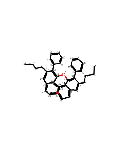 CCCCc1cc2ccccc2c(Oc2c(-c3ccccc3)c(CCCC)cc3ccccc23)c1-c1ccccc1